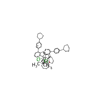 C[SiH](C)[Zr]([Cl])([Cl])([CH]1C(CC2CCCCC2)=Cc2c(-c3ccc(C4CCCCC4)cc3)cccc21)[CH]1C(CC2CCCCC2)=Cc2c(-c3ccc(C4CCCCC4)cc3)cccc21